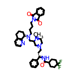 CN1CCN(CC[C@H](NC(=O)C2CCC(F)(F)CC2)c2ccccc2)CC1CN(CCCCN1C(=O)c2ccccc2C1=O)[C@H]1CCCc2cccnc21